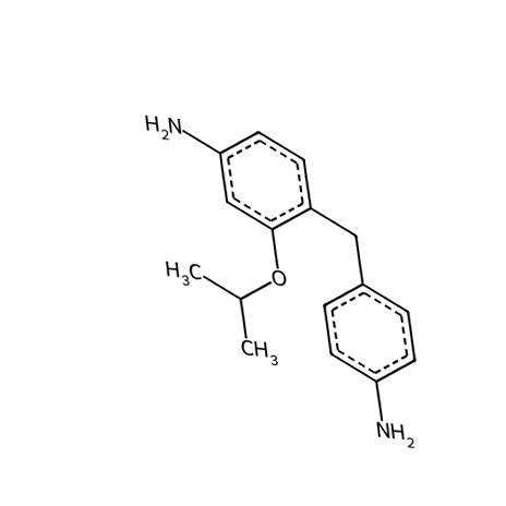 CC(C)Oc1cc(N)ccc1Cc1ccc(N)cc1